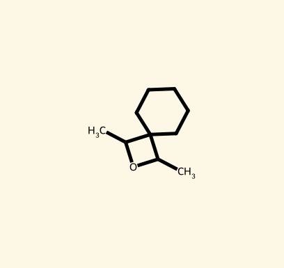 CC1OC(C)C12CCCCC2